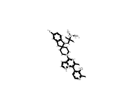 Cc1nccc(-c2c(C)nc(N3CCC4(CC3)Cc3cc(F)ccc3[C@H]4CC(C)(C)[S+](N)[O-])c3ccnn23)c1Cl